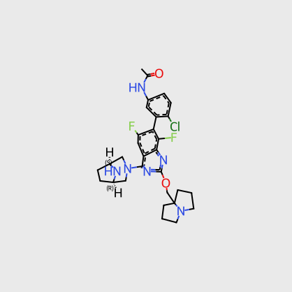 CC(=O)Nc1ccc(Cl)c(-c2c(F)cc3c(N4C[C@H]5CC[C@@H](C4)N5)nc(OCC45CCCN4CCC5)nc3c2F)c1